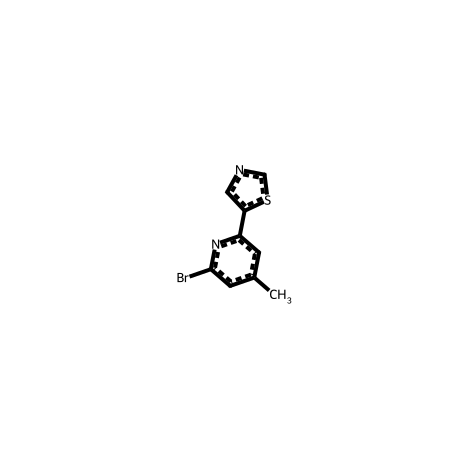 Cc1cc(Br)nc(-c2cncs2)c1